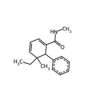 CCC1(C)C=CC=C(C(=O)NC)C1c1ccccc1